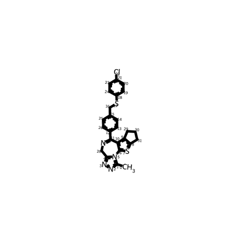 Cc1nnc2n1-c1sc3c(c1C(c1ccc(CSc4ccc(Cl)cc4)cc1)=NC2)CCC3